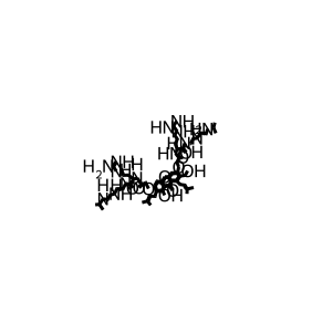 CC(C)=CCc1c(OCC(=O)NC(CCCNC(=N)N)C(=O)NCCNCCNC(C)C)cc2oc3cc(OCC(=O)NC(CCCNC(=N)N)C(=O)NCCNCCNC(C)C)c(CO)c(CC=C(C)C)c3c(=O)c2c1O